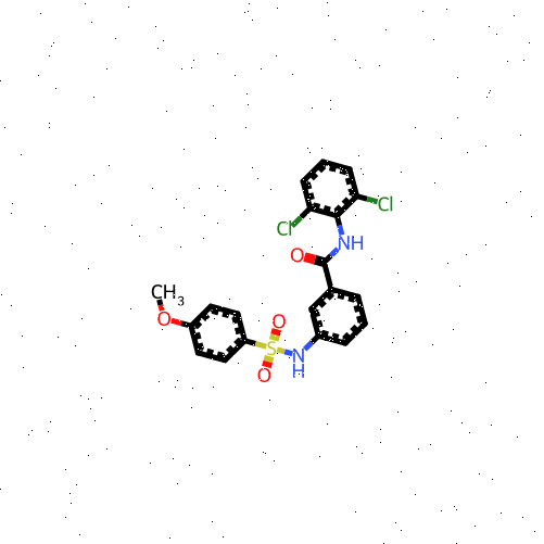 COc1ccc(S(=O)(=O)Nc2cccc(C(=O)Nc3c(Cl)cccc3Cl)c2)cc1